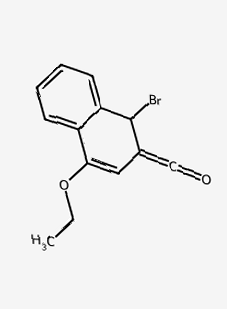 CCOC1=CC(=C=O)C(Br)c2ccccc21